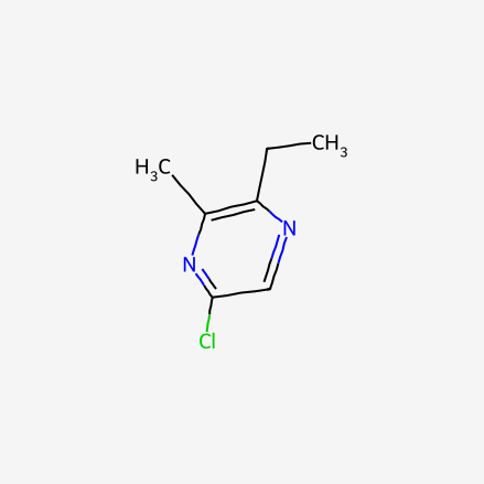 CCc1ncc(Cl)nc1C